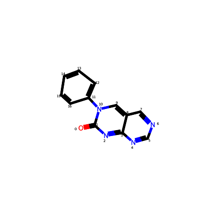 O=c1nc2ncncc2cn1-c1ccccc1